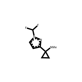 CNC1(c2ccn(C(F)F)n2)CC1